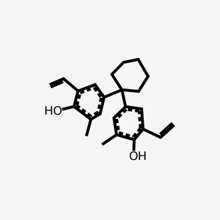 C=Cc1cc(C2(c3cc(C)c(O)c(C=C)c3)CCCCC2)cc(C)c1O